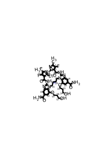 CCn1nc(C)c(F)c1C(=O)Nc1nc2cc(C(N)=O)cc(OCCCO)c2n1C/C=C/Cn1c(NC(=O)c2c(F)c(C)nn2CC)nc2cc(C(N)=O)cc(OCCCO)c21